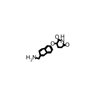 NCc1ccc2cc(OC3CCC(=O)NC3=O)ccc2c1